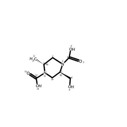 C[C@@H]1CN(C(=O)O)[C@@H](CO)CN1C(=O)O